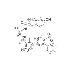 CC(=O)N[C@@H](Cc1ccc(O)cc1)C(=O)N[C@H](C(=O)N[C@@H](C)C(=O)N[C@@H](CC(=O)O)C(=O)NCc1cc2ccccc2oc1=O)C(C)C